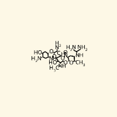 CNC1C(O[C@H]2OC(C)[C@@H](NC(CN)CN)CC2N=O)O[C@H]2CC(N)[C@@H](O[C@H]3CC(O)[C@H](N)CC3N)OC2C1O